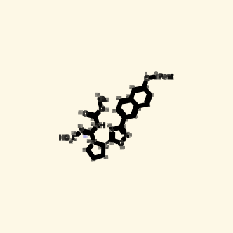 CCCCCOc1ccc2cc(-c3noc([C@@H]4CCCN4/C(=N\C(=O)O)NC(=O)OC(C)(C)C)n3)ccc2c1